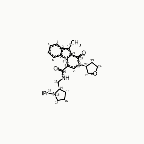 Cc1c2ccccc2n2c(C(=O)NC[C@H]3CCCN3C(C)C)cn([C@H]3CCOC3)c(=O)c12